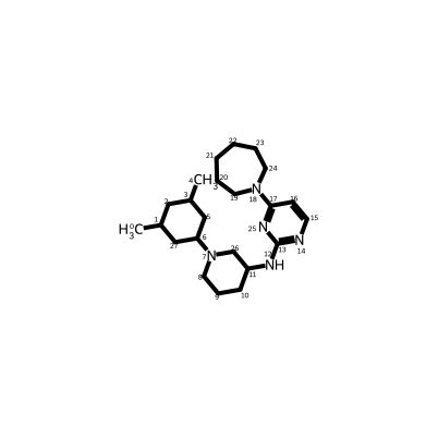 CC1CC(C)CC(N2CCCC(Nc3nccc(N4CCCCCC4)n3)C2)C1